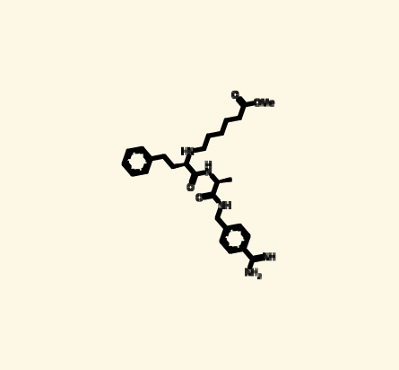 COC(=O)CCCCCN[C@H](CCc1ccccc1)C(=O)N[C@@H](C)C(=O)NCc1ccc(C(=N)N)cc1